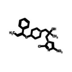 CC=C(OC1CCN(C[C@](C)(O)Cn2cc([N+](=O)[O-])nc2Cl)CC1)c1ccccc1